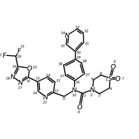 O=C(N1CCS(=O)(=O)CC1)N(Cc1ccc(-c2nnc(C(F)F)o2)cn1)c1ccc(-c2cccnc2)cc1